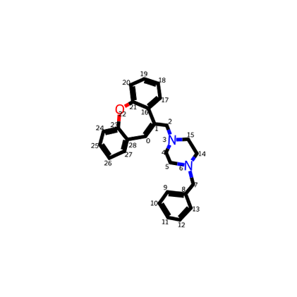 C1=C(CN2CCN(Cc3ccccc3)CC2)c2ccccc2Oc2ccccc21